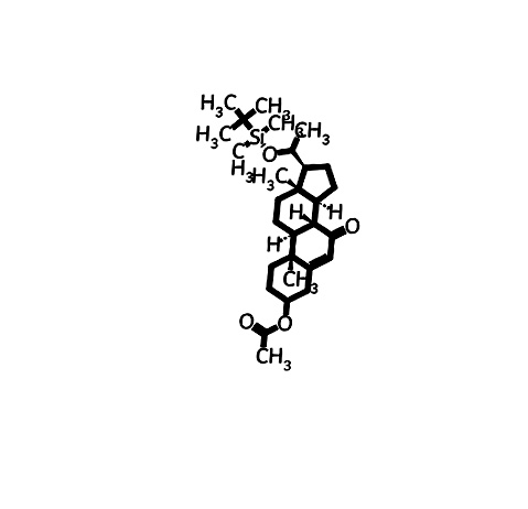 CC(=O)OC1CC[C@@]2(C)C(=CC(=O)[C@H]3[C@@H]4CC[C@H](C(C)O[Si](C)(C)C(C)(C)C)[C@@]4(C)CC[C@@H]32)C1